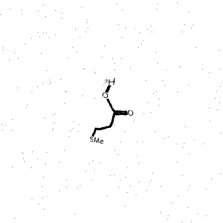 [3H]OC(=O)CCSC